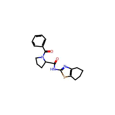 O=C(Nc1nc2c(s1)CCCC2)C1CCCN1C(=O)c1ccccc1